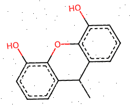 CC1c2cccc(O)c2Oc2c(O)cccc21